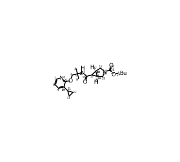 CC(C)(COc1ncccc1C1CC1)NC(=O)C1[C@H]2CN(C(=O)OC(C)(C)C)C[C@@H]12